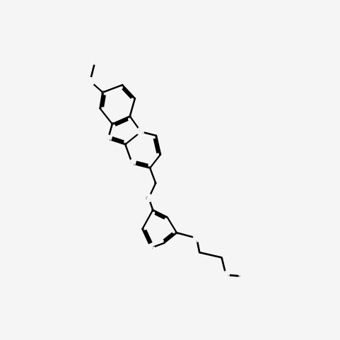 COCCOc1cncc(NCc2ccn3c(n2)nc2cc(OC)ccc23)c1